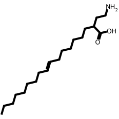 CCCCCCCCC=CCCCCCCC(CCN)C(=O)O